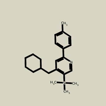 Cc1ccc(-c2cc(CC3CCCCC3)c([Si](C)(C)C)cn2)cc1